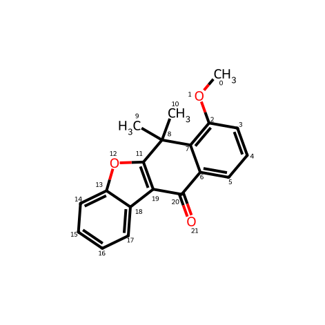 COc1cccc2c1C(C)(C)c1oc3ccccc3c1C2=O